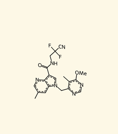 COc1ncnc(Cn2cc(C(=O)NCC(F)(F)C#N)c3ncc(C)cc32)c1C